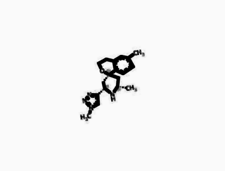 Cc1ccc2c(c1)CCO[C@@]21C[C@@H](c2cn(C)nn2)N[C@@H](C)C1